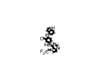 FC(F)(F)Cn1ccc2ncnc(Nc3ccc(Oc4cccc5[nH]ccc45)c(Cl)c3)c21